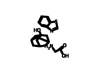 NCC(=O)O.OC12CC3CC(CC(C3)C1)C2.c1ccc2scnc2c1